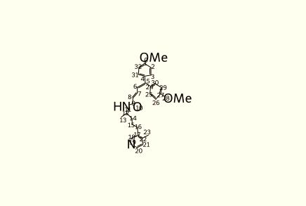 COc1ccc(C(=C/C=C/C(=O)NC(C)CCCc2cnccc2C)c2ccc(OC)cc2)cc1